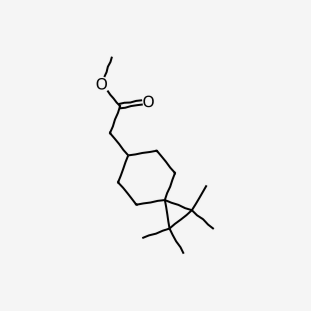 COC(=O)CC1CCC2(CC1)C(C)(C)C2(C)C